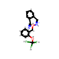 N#Cc1ccccc1/[C]=N\OCc1ccccc1OC(F)(F)F